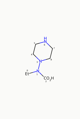 CCN(C(=O)O)N1CCNCC1